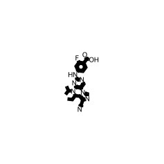 CCC1c2c(C#N)ncn2-c2cnc(Nc3ccc(C(=O)O)c(F)c3)nc2N1C(C)C